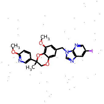 COc1ccc(C2(C)COc3cc(Cn4cnc5cc(I)cnc54)cc(OC)c3O2)cn1